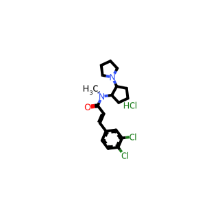 CN(C(=O)C=Cc1ccc(Cl)c(Cl)c1)C1CCCC1N1CCCC1.Cl